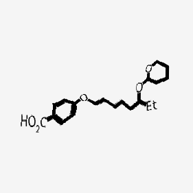 CCC(CCCCCOc1ccc(C(=O)O)cc1)OC1CCCCO1